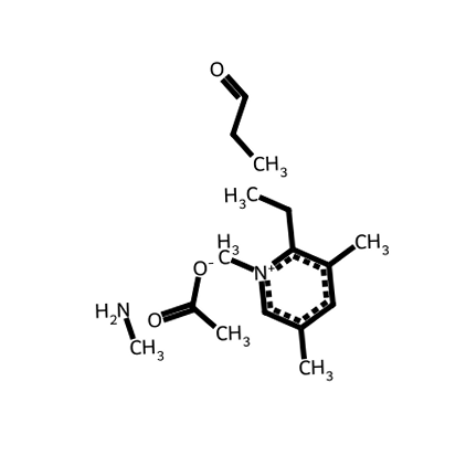 CC(=O)[O-].CCC=O.CCc1c(C)cc(C)c[n+]1C.CN